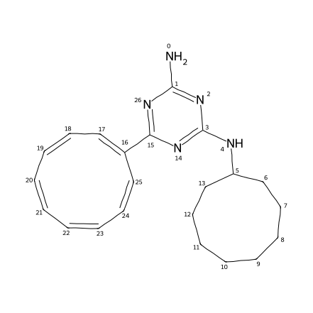 Nc1nc(NC2CCCCCCCC2)nc(-c2ccccccccc2)n1